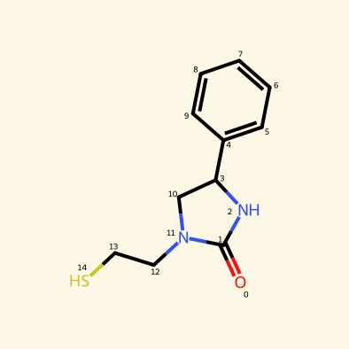 O=C1NC(c2ccccc2)CN1CCS